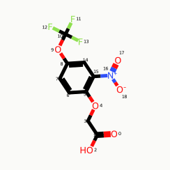 O=C(O)COc1ccc(OC(F)(F)F)cc1[N+](=O)[O-]